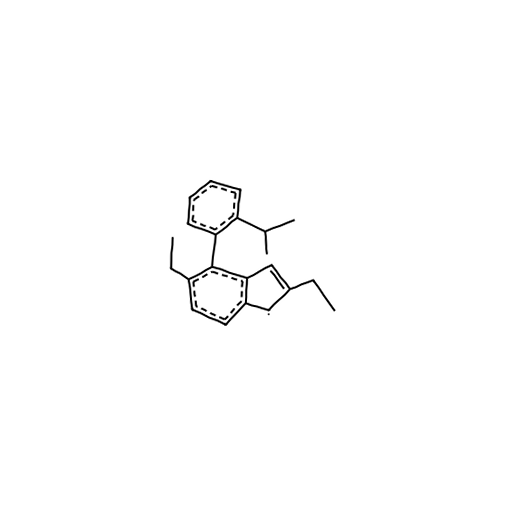 CCC1=Cc2c(ccc(CC)c2-c2ccccc2C(C)C)[CH]1